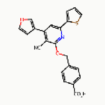 N#Cc1c(-c2ccoc2)cc(-c2cccs2)nc1OCc1ccc(C(=O)O)cc1